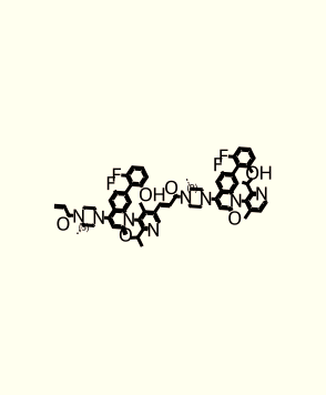 C=CC(=O)N1CCN(c2cc(=O)n(-c3c(C(C)C)ncc(C=CC(=O)N4CCN(c5cc(=O)n(-c6c(C)ccnc6C(C)C)c6cc(-c7c(O)cccc7F)c(F)cc56)C[C@H]4C)c3C)c3cc(-c4c(O)cccc4F)c(F)cc23)C[C@@H]1C